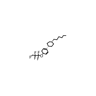 CCCCCC[C@H]1CC[C@H](C2=CCC(OC(F)(F)C(F)(F)CF)C=C2)CC1